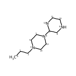 CCCN1CCN(C2CNCC[N]2)CC1